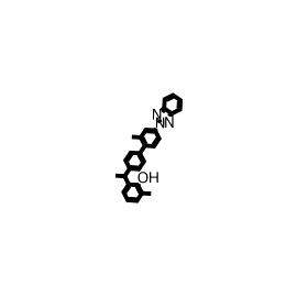 Cc1cc(-n2nc3ccccc3n2)ccc1-c1ccc(C(C)c2cccc(C)c2O)cc1